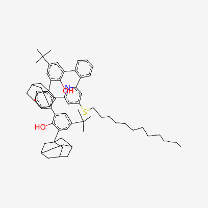 CCCCCCCCCCCCSc1cc(-c2ccccc2-c2cc(C(C)(C)C)cc(C34CC5CC(CC(C5)C3)C4)c2O)nc(-c2ccccc2-c2cc(C(C)(C)C)cc(C34CC5CC(CC(C5)C3)C4)c2O)c1